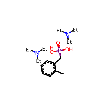 CCN(CC)CC.CCN(CC)CC.Cc1ccccc1CP(=O)(O)O